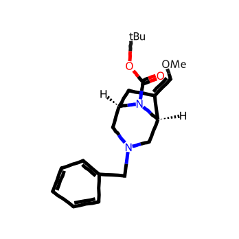 CO/C=C1\C[C@@H]2CN(Cc3ccccc3)C[C@H]1N2C(=O)OC(C)(C)C